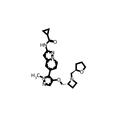 Cn1ncc(OC[C@H]2CCN2C[C@H]2CCCO2)c1-c1ccn2nc(NC(=O)C3CC3)cc2c1